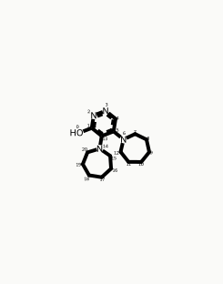 Oc1nncc(N2CCCCCC2)c1N1CCCCCC1